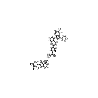 C[C@@H]1C(=O)N(C)Cc2c(-c3cccc4cc(-c5ccc(C(=O)NCCCNc6cccc7c6C(=O)N(C6CCC(=O)NC6=O)C7)nc5)ncc34)nc(C3CCOCC3)n21